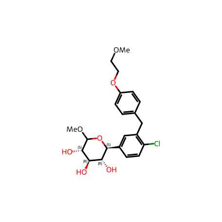 COCCOc1ccc(Cc2cc([C@@H]3OC(OC)[C@@H](O)[C@H](O)[C@H]3O)ccc2Cl)cc1